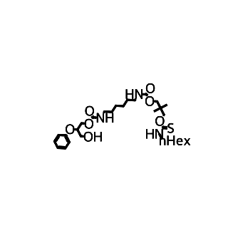 CCCCCCNC(=S)OCC(C)(C)COC(=O)NCCCCCCNC(=O)OCC(CO)Oc1ccccc1